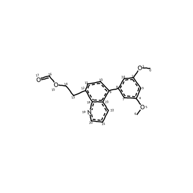 COc1cc(OC)cc(-c2ccc(CCOC=O)c3ncccc23)c1